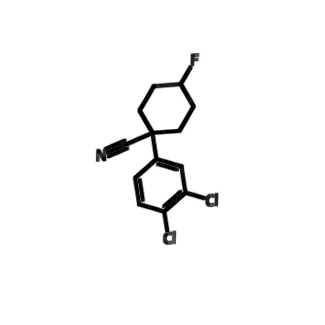 N#CC1(c2ccc(Cl)c(Cl)c2)CCC(F)CC1